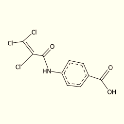 O=C(Nc1ccc(C(=O)O)cc1)C(Cl)=C(Cl)Cl